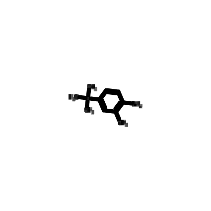 Cc1cc([Si](C)(C)C)ccc1N